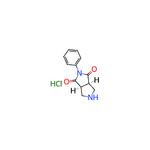 Cl.O=C1[C@H]2CNC[C@H]2C(=O)N1c1ccccc1